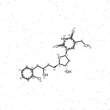 CCc1cn([C@H]2C[C@H](O)[C@@H](CCC(O)Cc3ccccc3Cl)O2)c(=O)[nH]c1=O